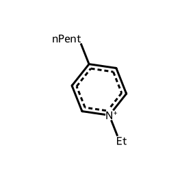 CCCCCc1cc[n+](CC)cc1